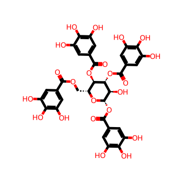 O=C(OC[C@H]1O[C@@H](OC(=O)c2cc(O)c(O)c(O)c2)[C@H](O)[C@@H](OC(=O)c2cc(O)c(O)c(O)c2)[C@@H]1OC(=O)c1cc(O)c(O)c(O)c1)c1cc(O)c(O)c(O)c1